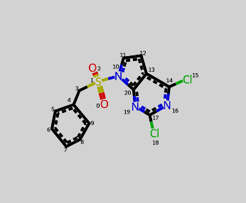 O=S(=O)(Cc1ccccc1)n1ccc2c(Cl)nc(Cl)nc21